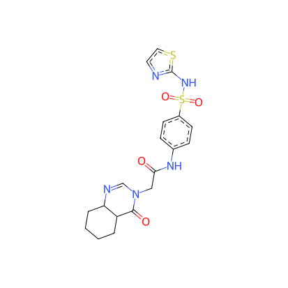 O=C(CN1C=NC2CCCCC2C1=O)Nc1ccc(S(=O)(=O)Nc2nccs2)cc1